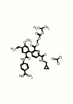 C=Cc1cc(C(=O)Nc2ccc(C(=N)N)cc2)c(-c2ccc(C(=O)NCC3CC3)nc2C(=O)OCOC(=O)OC(C)C)cc1OC.ClC(Cl)Cl